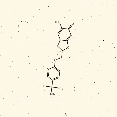 CCC(C)(C)c1ccc(OC[C@@H]2Cn3cc(C)c(=O)nc3O2)cc1